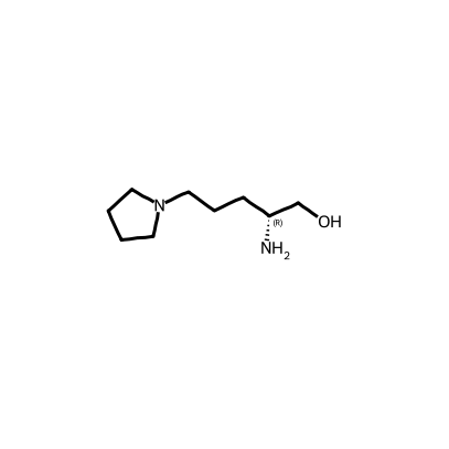 N[C@@H](CO)CCCN1CCCC1